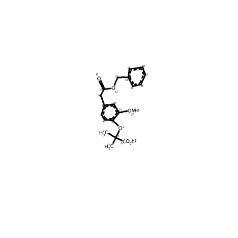 CCOC(=O)C(C)(C)Oc1ccc(CC(=O)OCc2ccccc2)cc1OC